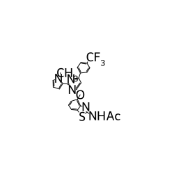 CC(=O)Nc1nc2c(Oc3cc(-c4ccc(C(F)(F)F)cc4)nc(-c4cccn4C)n3)cccc2s1